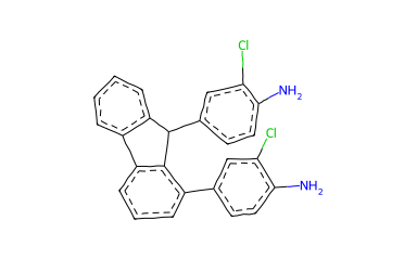 Nc1ccc(-c2cccc3c2C(c2ccc(N)c(Cl)c2)c2ccccc2-3)cc1Cl